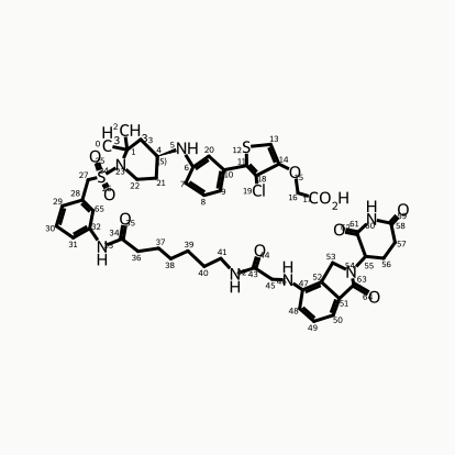 CC1(C)C[C@@H](Nc2cccc(-c3scc(OCC(=O)O)c3Cl)c2)CCN1S(=O)(=O)Cc1cccc(NC(=O)CCCCCCNC(=O)CNc2cccc3c2CN(C2CCC(=O)NC2=O)C3=O)c1